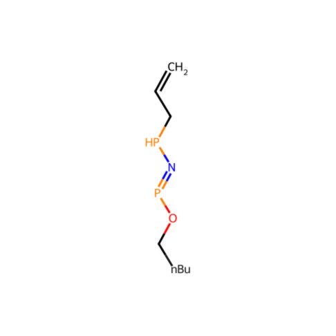 C=CCPN=POCCCCC